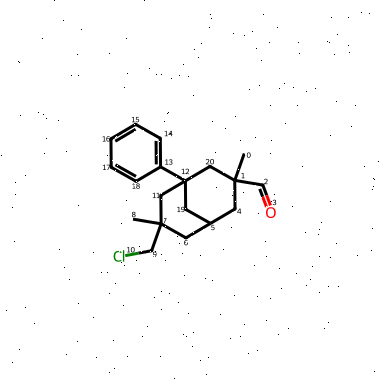 CC1(C=O)CC2CC(C)(CCl)CC(c3ccccc3)(C2)C1